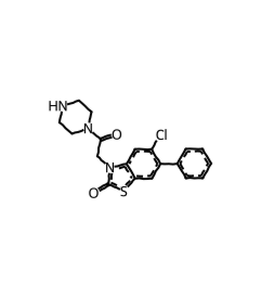 O=C(Cn1c(=O)sc2cc(-c3ccccc3)c(Cl)cc21)N1CCNCC1